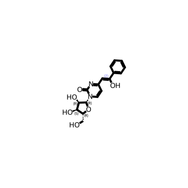 O=c1nc(/C=C(\O)c2ccccc2)ccn1[C@@H]1O[C@H](CO)[C@@H](O)[C@H]1O